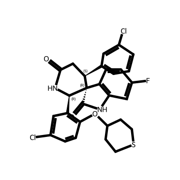 O=C1C[C@@H](c2cccc(Cl)c2)[C@]2(C(=O)Nc3cc(F)ccc32)[C@@H](c2cc(Cl)ccc2OC2CCSCC2)N1